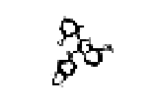 Cc1cccn2c(Nc3ccc4c(c3)OCO4)c(-c3c(F)cccc3Cl)nc12